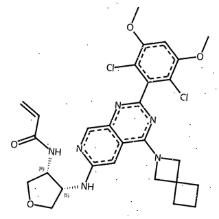 C=CC(=O)N[C@H]1COC[C@H]1Nc1cc2c(N3CC4(CCC4)C3)nc(-c3c(Cl)c(OC)cc(OC)c3Cl)nc2cn1